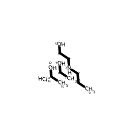 CCCNCCO.CCO.CCO.Cl